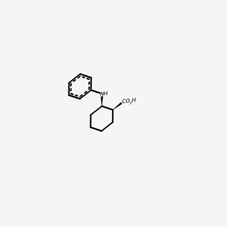 O=C(O)[C@H]1CCCC[C@H]1Nc1ccccc1